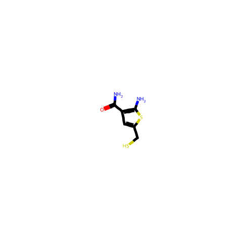 NC(=O)c1cc(CS)sc1N